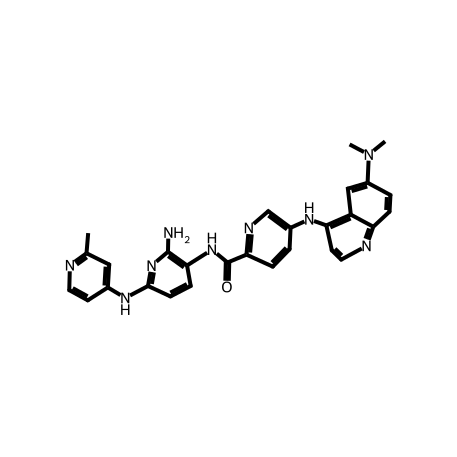 Cc1cc(Nc2ccc(NC(=O)c3ccc(Nc4ccnc5ccc(N(C)C)cc45)cn3)c(N)n2)ccn1